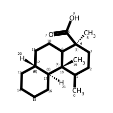 CC1CC[C@](C)(C(=O)O)C2CC[C@H]3CCCC[C@@H]3[C@@]12C